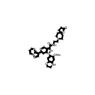 COc1cc2c(cc1-n1nc(C(=O)NCCN3CCC4(CCC(=O)O4)CC3)c3cnc(-c4cnn5cccnc45)cc31)OCCN2